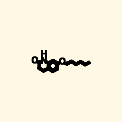 CCCCCCOc1ccc2c(c1)NC(=O)CC2